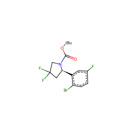 CC(C)(C)OC(=O)N1CC(F)(F)C[C@@H]1c1cc(F)ccc1Br